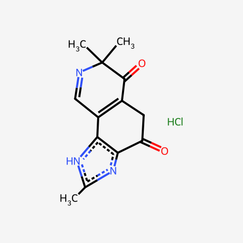 Cc1nc2c([nH]1)C1=C(CC2=O)C(=O)C(C)(C)N=C1.Cl